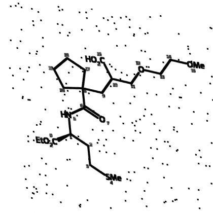 CCOC(=O)[C@H](CCSC)NC(=O)C1(CC(COCCOC)C(=O)O)CCCC1